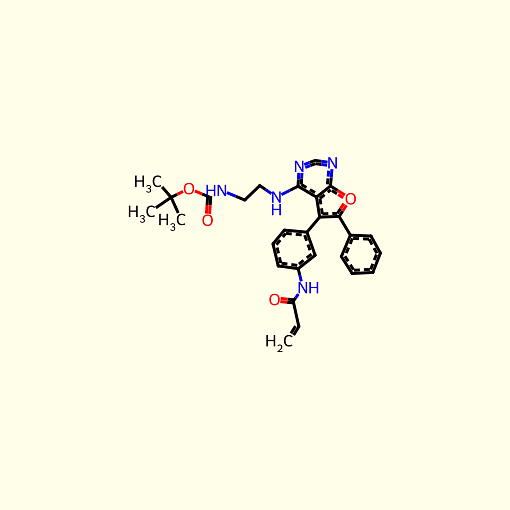 C=CC(=O)Nc1cccc(-c2c(-c3ccccc3)oc3ncnc(NCCNC(=O)OC(C)(C)C)c23)c1